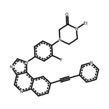 CCN1CCN(c2ccc(-n3cnc4cnc5ccc(C#Cc6cccnc6)cc5c43)cc2F)CC1=O